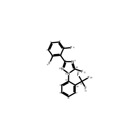 Fc1cccc(F)c1-c1nc(F)n(-c2ccccc2C(F)(F)F)n1